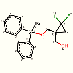 CC(C)(C)[Si](OC[C@]1(CO)CC1(F)F)(c1ccccc1)c1ccccc1